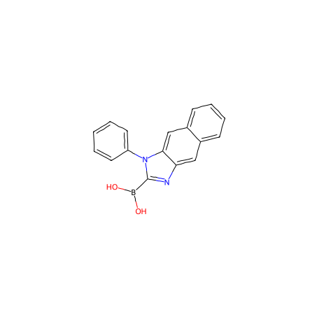 OB(O)c1nc2cc3ccccc3cc2n1-c1ccccc1